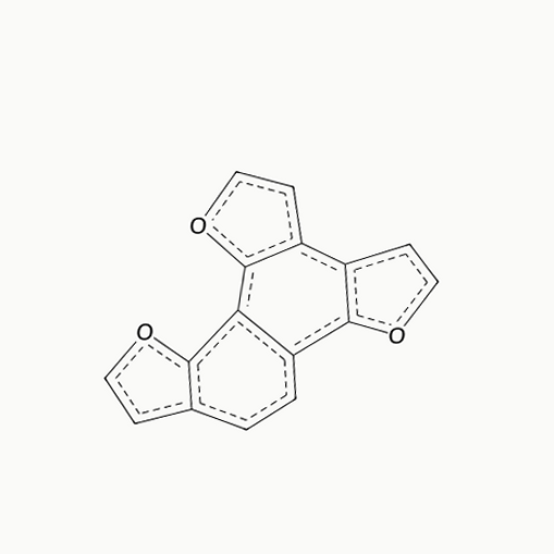 c1cc2c3ccoc3c3c(ccc4ccoc43)c2o1